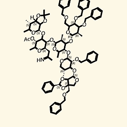 CC(=N)C[C@H]1OC(C)[C@H](OC(C)=O)C(O[C@@H]2OC(C)[C@H](C)[C@@H]3OC(C)(C)OC23)[C@H]1O[C@@H]1OC(C)[C@H](O[C@@H]2OC[C@@H](C)C(O[C@@H]3OC[C@]4(COCc5ccccc5)O[C@@H](c5ccccc5)OC34)[C@H]2OCc2ccccc2)C(O[C@@H]2OC(COCc3ccccc3)[C@@H](OCc3ccccc3)C(OCc3ccccc3)[C@H]2C)[C@@H]1C